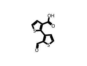 O=Cc1sccc1-c1sccc1C(=O)O